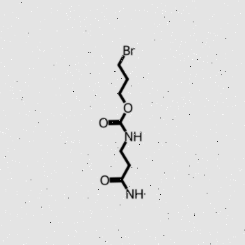 [NH]C(=O)CCNC(=O)OCCCBr